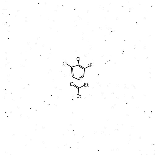 CCC(=O)CC.Fc1cccc(Cl)c1Cl